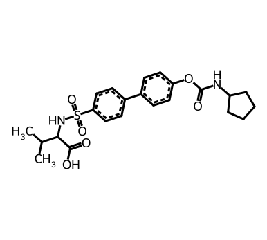 CC(C)C(NS(=O)(=O)c1ccc(-c2ccc(OC(=O)NC3CCCC3)cc2)cc1)C(=O)O